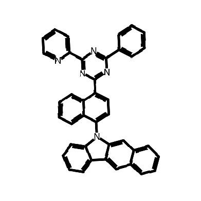 c1ccc(-c2nc(-c3ccccn3)nc(-c3ccc(-n4c5ccccc5c5cc6ccccc6cc54)c4ccccc34)n2)cc1